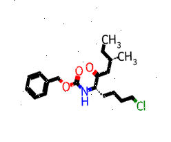 CC[C@H](C)CC(=O)[C@H](CCCCCl)NC(=O)OCc1ccccc1